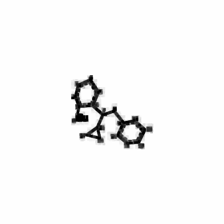 CCC(C)c1ccccc1[C](Cc1ccccc1)C1CC1